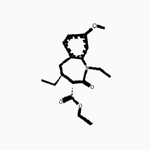 CCOC(=O)[C@H]1C(=O)N(CC)c2cc(OC)ccc2C[C@@H]1CC